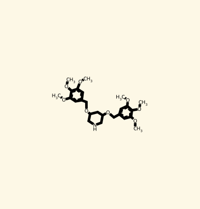 COc1cc(COC2CNCC(OCc3cc(OC)c(OC)c(OC)c3)C2)cc(OC)c1OC